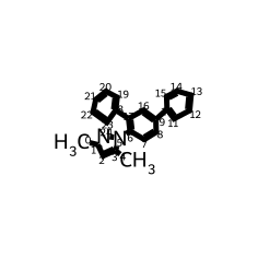 Cc1cc(C)n(-c2ccc(-c3ccccc3)cc2-c2ccccc2)n1